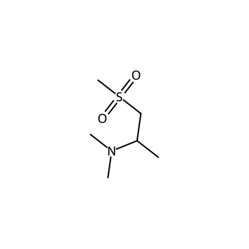 CC(CS(C)(=O)=O)N(C)C